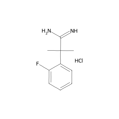 CC(C)(C(=N)N)c1ccccc1F.Cl